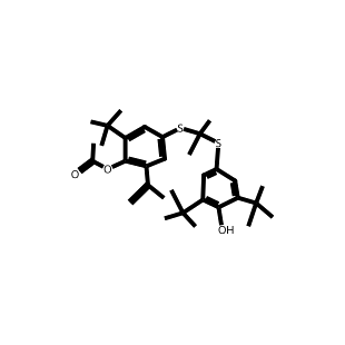 C=C(C)c1cc(SC(C)(C)Sc2cc(C(C)(C)C)c(O)c(C(C)(C)C)c2)cc(C(C)(C)C)c1OC(C)=O